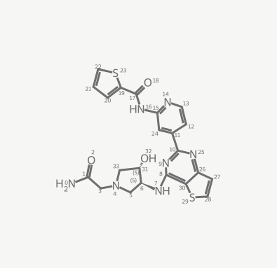 NC(=O)CN1C[C@H](Nc2nc(-c3ccnc(NC(=O)c4cccs4)c3)nc3ccsc23)[C@@H](O)C1